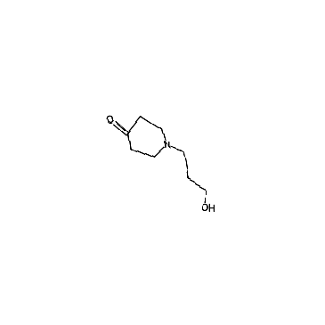 O=C1CCN(CCCO)CC1